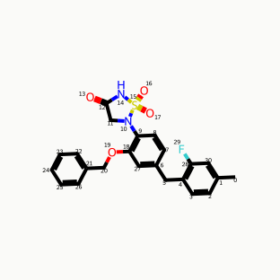 Cc1ccc(Cc2ccc(N3CC(=O)NS3(=O)=O)c(OCc3ccccc3)c2)c(F)c1